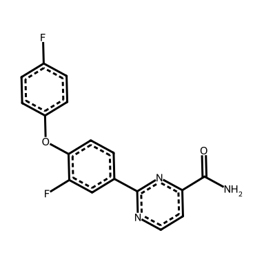 NC(=O)c1ccnc(-c2ccc(Oc3ccc(F)cc3)c(F)c2)n1